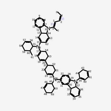 C/C=C\C=C(/C)N1c2ccccc2C2C=C(N(C3=CC=C(C4CC=C(N(c5ccc6c(c5)C5C=CC=CC5N6C5=CC=CCC5)C5C=CCCC5)CC4)CC3)C3C=CCCC3C)C=CC21